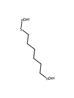 CCCCCCCCCCCCCCC[CH]SCCCCCCCCCC